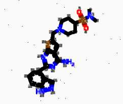 CN(C)S(=O)(=O)C1CCN(Cc2cc3c(N)nc(-c4cccc5[nH]ncc45)nc3s2)CC1